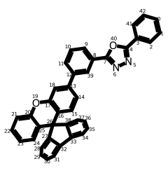 c1ccc(-c2nnc(-c3cccc(-c4ccc5c(c4)Oc4ccccc4C54c5ccccc5-c5ccccc54)c3)o2)cc1